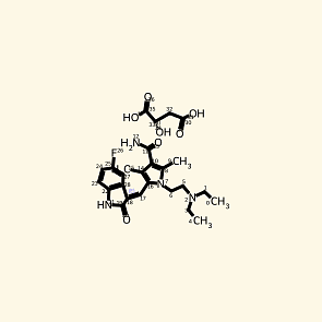 CCN(CC)CCn1c(C)c(C(N)=O)c(C)c1/C=C1/C(=O)Nc2ccc(F)cc21.O=C(O)C[C@H](O)C(=O)O